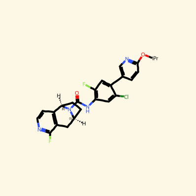 CC(C)Oc1ccc(-c2cc(F)c(NC(=O)N3[C@H]4CC[C@@H]3c3ccnc(F)c3C4)cc2Cl)cn1